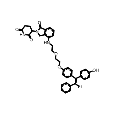 CCC(=C(c1ccc(O)cc1)c1ccc(OCCOCCNc2cccc3c2CN(C2CCC(=O)NC2=O)C3=O)cc1)c1ccccc1